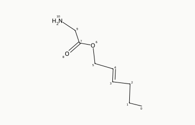 CCCC=CCOC(=O)CN